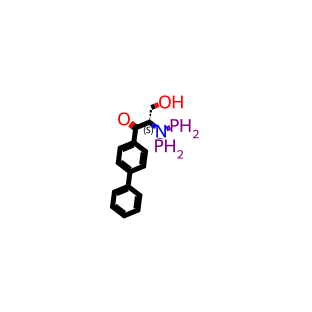 O=C(c1ccc(-c2ccccc2)cc1)[C@H](CO)N(P)P